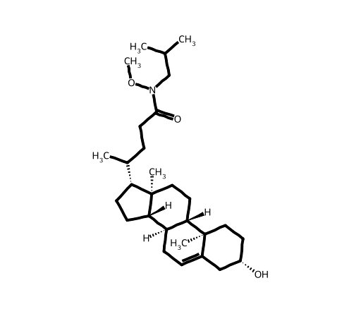 CON(CC(C)C)C(=O)CCC(C)[C@H]1CC[C@H]2[C@@H]3CC=C4C[C@@H](O)CC[C@]4(C)[C@H]3CC[C@]12C